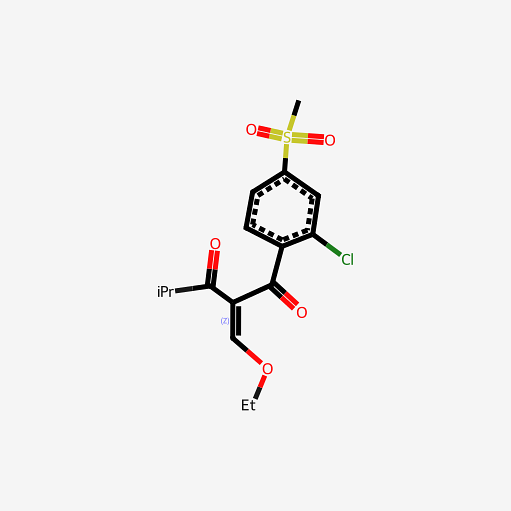 CCO/C=C(\C(=O)c1ccc(S(C)(=O)=O)cc1Cl)C(=O)C(C)C